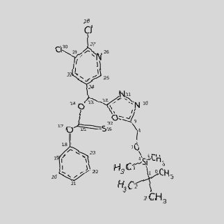 CC(C)(C)[Si](C)(C)OCc1nnc(C(OC(=S)Oc2ccccc2)c2cnc(Cl)c(Cl)c2)o1